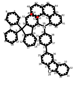 c1ccc(C2(c3ccccc3)c3ccccc3-c3c(N(c4ccc(-c5ccc6oc7ccccc7c6c5)cc4)c4cccc5ccc6ccccc6c45)cccc32)cc1